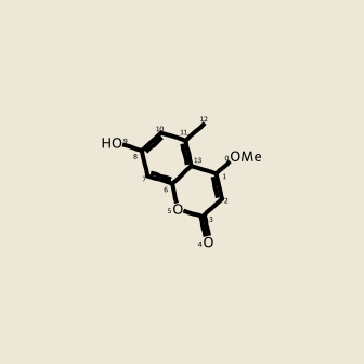 COc1cc(=O)oc2cc(O)cc(C)c12